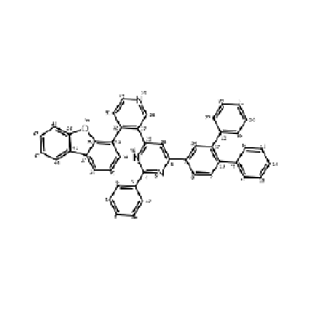 c1ccc(-c2nc(-c3ccc(-c4ccccc4)c(-c4ccccc4)c3)cc(-c3cnccc3-c3cccc4c3oc3ccccc34)n2)cc1